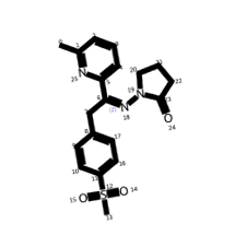 Cc1cccc(/C(Cc2ccc(S(C)(=O)=O)cc2)=N\N2CCCC2=O)n1